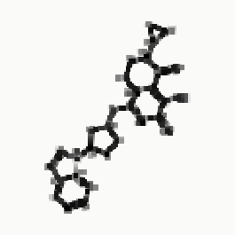 O=C1c2c(O)c(=O)nc(CC3CCC(n4ccc5cccnc54)C3)n2CCN1C1CC1